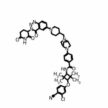 CC1(C)C(NC(=O)c2ccc(N3CC4CC3CN4CC3CCN(c4ccc5nnn(C6CCC(=O)NC6=O)c(=O)c5c4)CC3)cc2)C(C)(C)C1Oc1ccc(C#N)c(Cl)c1